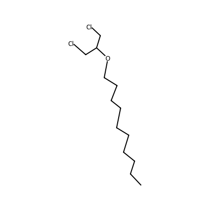 CCCCCCCCCCOC(CCl)CCl